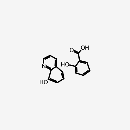 O=C(O)c1ccccc1O.Oc1cccc2cccnc12